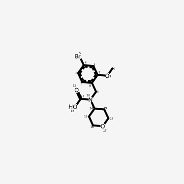 COc1cc(Br)ccc1CN(C(=O)O)C1CCOCC1